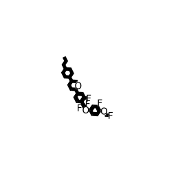 CCCC1CCC(C2CCC(c3ccc(C(F)(F)Oc4ccc(OCF)c(F)c4)c(F)c3)OC2)CC1